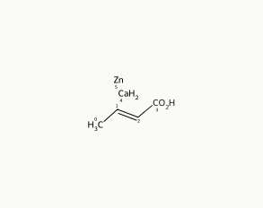 CC=CC(=O)O.[CaH2].[Zn]